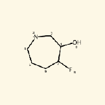 OC1C[N]CCCC1F